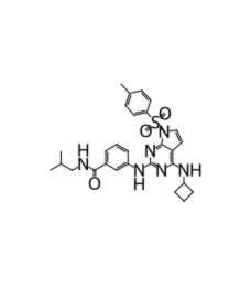 Cc1ccc(S(=O)(=O)n2ccc3c(NC4CCC4)nc(Nc4cccc(C(=O)NCC(C)C)c4)nc32)cc1